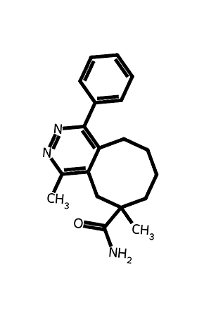 Cc1nnc(-c2ccccc2)c2c1CC(C)(C(N)=O)CCCC2